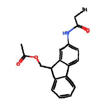 [3H]CC(=O)Nc1ccc2c(c1)C(COC(C)=O)c1ccccc1-2